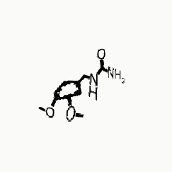 COc1ccc(CNC(N)=O)cc1OC